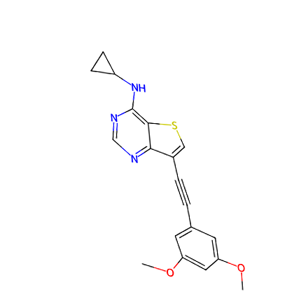 COc1cc(C#Cc2csc3c(NC4CC4)ncnc23)cc(OC)c1